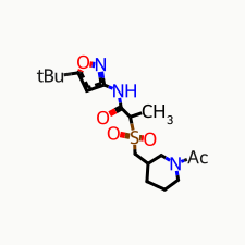 CC(=O)N1CCCC(CS(=O)(=O)C(C)C(=O)Nc2cc(C(C)(C)C)on2)C1